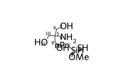 CCC[SiH](S)OC.NC(CO)(CO)CO